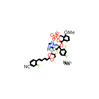 COc1cccc(C(=O)O[C@@](Cn2cncn2)(c2ccc(F)cc2F)[C@@H](C)SC2COC(C=CC=Cc3ccc(C#N)cc3F)OC2)c1COP(=O)([O-])[O-].[Na+].[Na+]